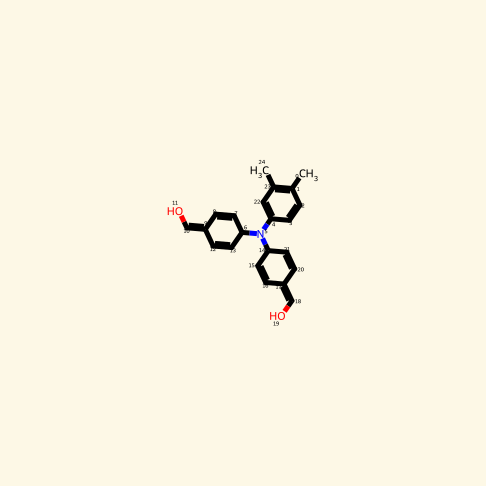 Cc1ccc(N(C2C=CC(=CO)C=C2)C2C=CC(=CO)C=C2)cc1C